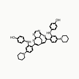 Oc1ccc(Nc2cc(N3CCCCC3)ccc2C2=CC3=CC(c4ccc(N5CCCCC5)cc4Nc4ccc(O)cc4)=NC4=NC=NC(=N2)C4C3)cc1